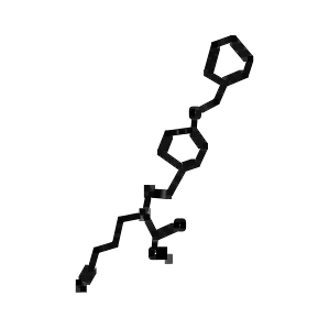 CC(=O)N(CCCC#N)/N=C/c1ccc(OCc2ccccc2)cc1